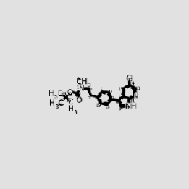 CN(CCc1ccc(-c2c[nH]c3ncc(Cl)cc23)cc1)C(=O)OC(C)(C)C